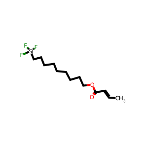 CC=CC(=O)OCCCCCCCCC[Si](F)(F)F